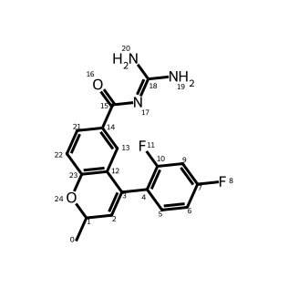 CC1C=C(c2ccc(F)cc2F)c2cc(C(=O)N=C(N)N)ccc2O1